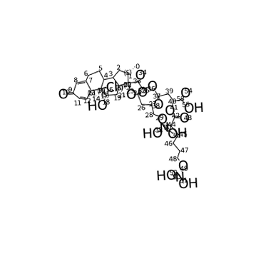 C[C@H]1CC2C3CCC4=CC(=O)C=C[C@]4(C)[C@@]3(Cl)[C@@H](O)C[C@]2(C)[C@@]1(OC(=O)CCCON(O)O)C(=O)COC(=O)CC(OC(=O)CCCCCON(O)O)C(=O)O